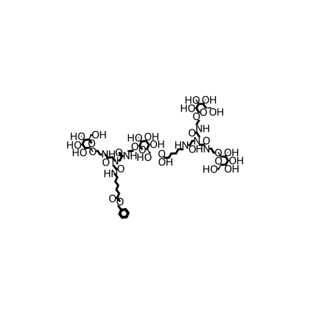 O=C(CN(CC(=O)NCCO[C@@H]1O[C@H](CO)[C@@H](O)[C@H](O)[C@H]1O)CC(=O)NCCO[C@@H]1O[C@H](CO)[C@@H](O)[C@H](O)[C@H]1O)NCCCCCC(=O)OCc1ccccc1.O=C(O)CCCCCNC(=O)CN(CC(=O)NCCO[C@@H]1O[C@H](CO)[C@@H](O)[C@H](O)[C@H]1O)CC(=O)NCCO[C@@H]1O[C@H](CO)[C@@H](O)[C@H](O)[C@H]1O